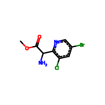 COC(=O)C(N)c1ncc(Br)cc1Cl